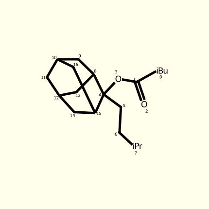 CCC(C)C(=O)OC1(CCC(C)C)C2CC3CC(C2)CC1C3